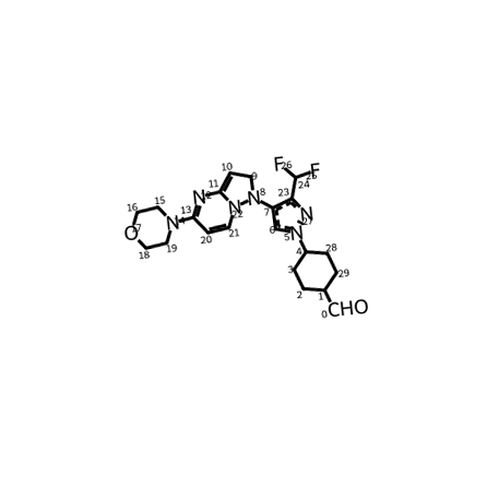 O=CC1CCC(n2cc(N3CC=C4N=C(N5CCOCC5)C=CN43)c(C(F)F)n2)CC1